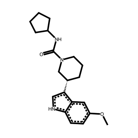 COc1ccc2[nH]cc([C@H]3CCCN(C(=O)NC4CCCC4)C3)c2c1